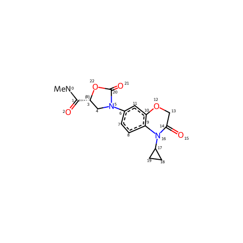 CNC(=O)[C@H]1CN(c2ccc3c(c2)OCC(=O)N3C2CC2)C(=O)O1